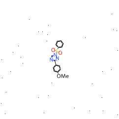 COc1ccc(-c2ncn(S(=O)(=O)c3ccccc3)n2)cc1